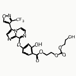 O=C(OCCO)OCCOC(=O)c1ccc(Oc2nccn3c(-c4conc4C(F)(F)F)cnc23)cc1O